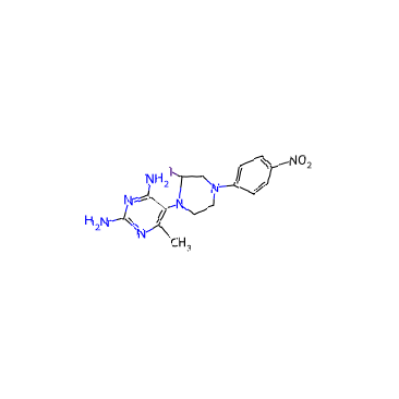 Cc1nc(N)nc(N)c1N1CCN(c2ccc([N+](=O)[O-])cc2)CC1I